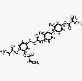 C=CC(=O)Oc1ccc(CCC(=O)Oc2ccc(-c3ccc(OC(=O)C(=C)C)cc3F)cc2F)cc1OC(=O)C=C